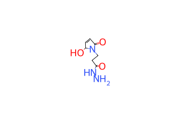 NNC(=O)CCN1C(=O)C=CC1O